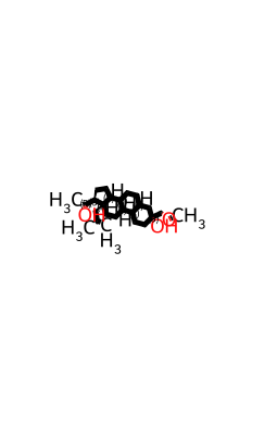 COC[C@]1(O)CC[C@H]2[C@H](CC[C@@H]3[C@@H]2CC[C@]2(CC(C)C)[C@@H]([C@@H](C)O)CC[C@@H]32)C1